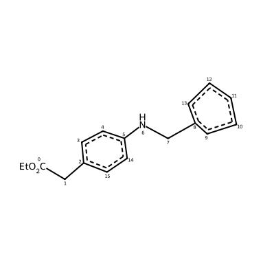 CCOC(=O)Cc1ccc(NCc2ccccc2)cc1